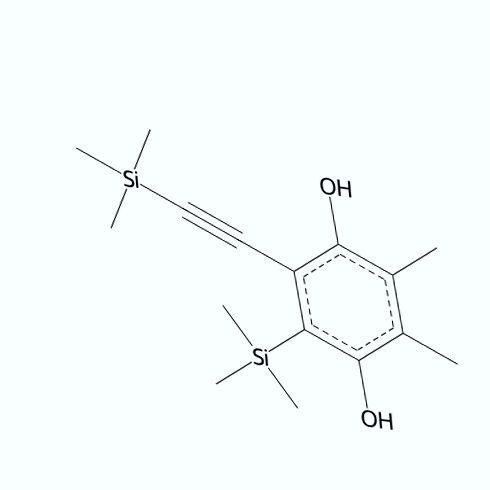 Cc1c(C)c(O)c([Si](C)(C)C)c(C#C[Si](C)(C)C)c1O